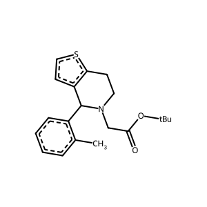 Cc1ccccc1C1c2ccsc2CCN1CC(=O)OC(C)(C)C